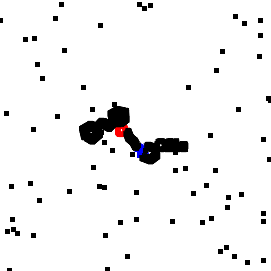 COC1CCCN(CCCCOc2ccccc2C=Cc2ccccc2)C1